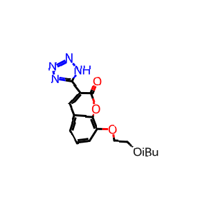 CC(C)COCCOc1cccc2cc(-c3nnn[nH]3)c(=O)oc12